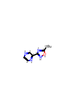 CC(C)(C)c1nc(-c2cnccn2)no1